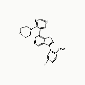 COc1ccc(F)cc1-c1noc2c(-c3cncnc3N3CCOCC3)cccc12